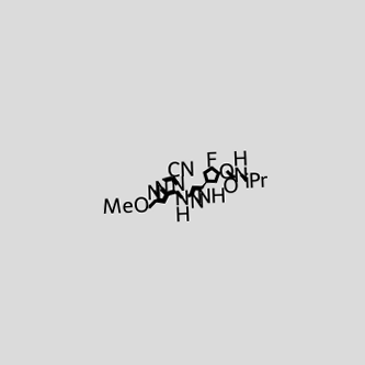 COCc1cc2c(Nc3cc([C@H]4C[C@@H](F)[C@@H](OC(=O)NC(C)C)C4)[nH]n3)nc(C#N)cn2n1